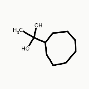 CC(O)(O)C1CCCCCCC1